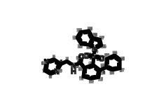 O=C(NCc1cnccn1)c1cccc(-c2ccccc2)c1S(=O)(=O)n1ccc2ccccc21